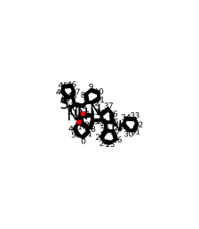 c1ccc(-c2nc(-c3ccccc3-n3c4ccccc4c4c5c6ccccc6n(-c6ccccc6)c5ccc43)c3c(n2)sc2ccccc23)cc1